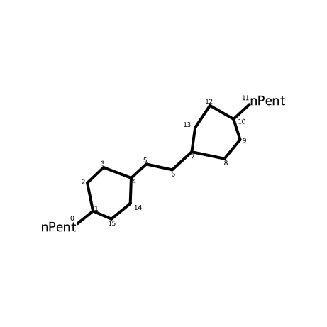 CCCCCC1CCC(CCC2CCC(CCCCC)CC2)CC1